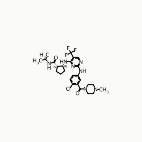 CC(C)NC(=O)[C@H]1CCC[C@H]1Nc1nc(Nc2ccc(Cl)c(C(=O)N3CCN(C)CC3)c2)ncc1C(F)(F)F